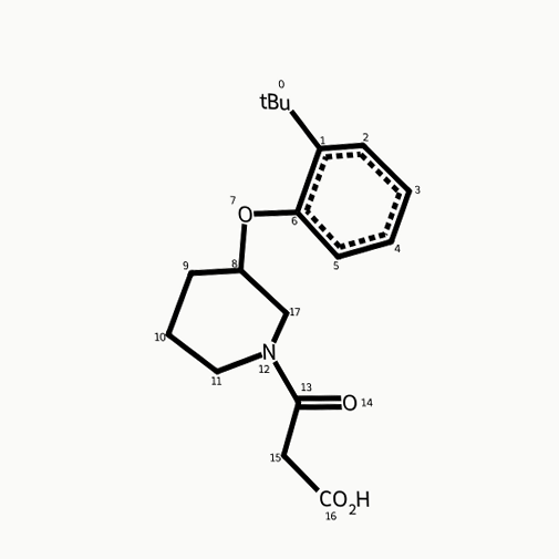 CC(C)(C)c1ccccc1OC1CCCN(C(=O)CC(=O)O)C1